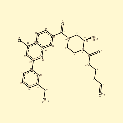 C=CCCOC(=O)N1CCN(C(=O)c2ccc3c(Cl)cc(-c4cccc(CN)c4)nc3c2)C[C@H]1N